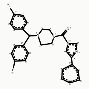 O=C(N1CCN(C(c2ccc(F)cc2)c2ccc(F)cc2)CC1)n1cnc(-c2ccccc2)c1